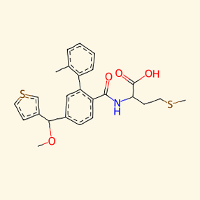 COC(c1ccsc1)c1ccc(C(=O)NC(CCSC)C(=O)O)c(-c2ccccc2C)c1